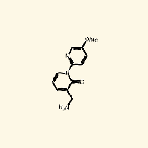 COc1ccc(-n2cccc(CN)c2=O)nc1